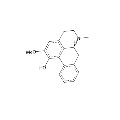 COc1cc2c3c(c1O)-c1ccccc1C[C@H]3N(C)CC2